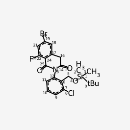 CC(C)(C)[Si](C)(C)OCc1c(Cl)cccc1N1C(=O)Cc2cc(Br)cc(F)c2C1=O